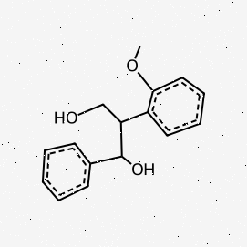 COc1ccccc1C(CO)C(O)c1ccccc1